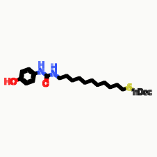 CCCCCCCCCCSCCCCCCCCCCCNC(=O)Nc1ccc(O)cc1